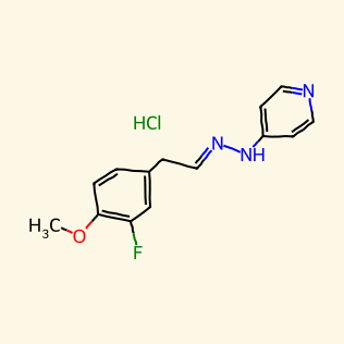 COc1ccc(CC=NNc2ccncc2)cc1F.Cl